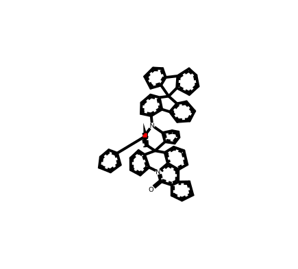 O=c1c2ccccc2c2cccc3c2n1-c1ccccc1C31c2ccccc2N(c2cccc3c2-c2ccccc2C32c3ccccc3-c3ccccc32)c2ccc(-c3ccccc3)cc21